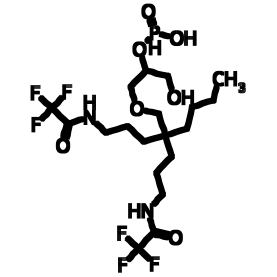 CCCCC(CCCNC(=O)C(F)(F)F)(CCCNC(=O)C(F)(F)F)COCC(CO)O[PH](=O)O